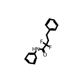 O=C(Nc1ccccc1)C(F)(F)CCc1ccccc1